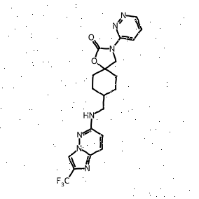 O=C1OC2(CCC(CNc3ccc4nc(C(F)(F)F)cn4n3)CC2)CN1c1cccnn1